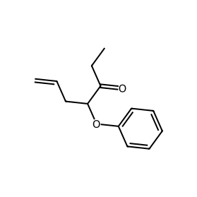 C=CCC(Oc1ccccc1)C(=O)CC